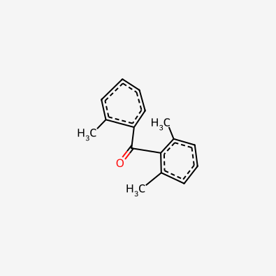 Cc1ccccc1C(=O)c1c(C)cccc1C